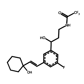 O=C(NCCC(O)c1cc(F)cc(C=CC2(O)CCCCC2)c1)C(F)(F)F